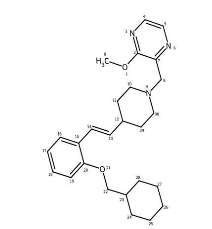 COc1nccnc1CN1CCC(C=Cc2ccccc2OCC2CCCCC2)CC1